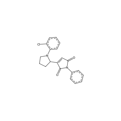 O=C1C=C(C2CCCN2c2ccccc2Cl)C(=O)N1c1ccccc1